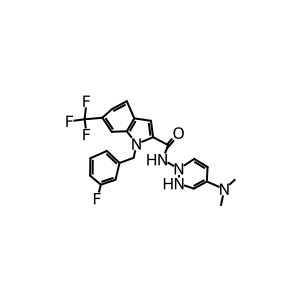 CN(C)C1=CNN(NC(=O)c2cc3ccc(C(F)(F)F)cc3n2Cc2cccc(F)c2)C=C1